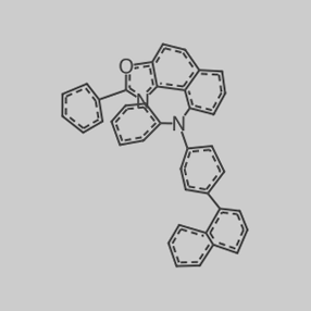 c1ccc(-c2nc3c(ccc4cccc(N(c5ccccc5)c5ccc(-c6cccc7ccccc67)cc5)c43)o2)cc1